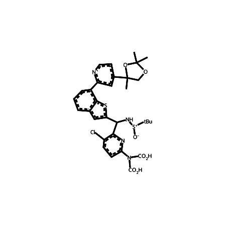 CC1(C)OCC(C)(c2ccnc(-c3cccc4cc(C(N[S+]([O-])C(C)(C)C)c5nc(N(C(=O)O)C(=O)O)ccc5Cl)sc34)c2)O1